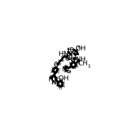 C[C@H](NC(=O)[C@@H]1C[C@@H](O)CN1C(=O)[C@@H](NC(=O)CCCCOc1ccc(-c2cnnc(-c3ccccc3O)c2)cc1)C(C)(C)C)c1ccc(-c2cncs2)cc1